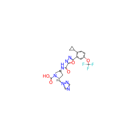 O=C(N[C@@H]1C[C@@H](Cn2cncn2)N(C(=O)O)C1)c1nnc(-c2cc(OC(F)(F)F)ccc2C2CC2)o1